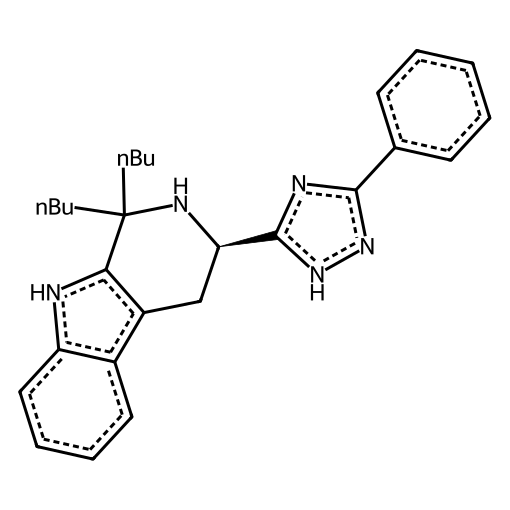 CCCCC1(CCCC)N[C@@H](c2nc(-c3ccccc3)n[nH]2)Cc2c1[nH]c1ccccc21